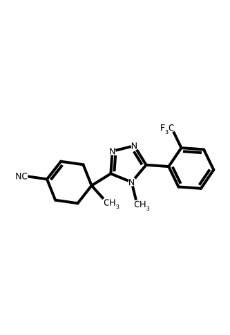 Cn1c(-c2ccccc2C(F)(F)F)nnc1C1(C)CC=C(C#N)CC1